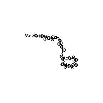 COc1ccc(C(C)(C)c2ccc(OC(=O)c3ccc(C(=O)Oc4ccc(Cc5ccc(OC(=O)c6ccc(C(=O)CCCCOc7ccc(Cc8ccccc8OC(=O)c8ccc(C(=O)Oc9ccccc9Cc9ccccc9OC(=O)c9ccc(C(C)=O)cc9)cc8)cc7)cc6)cc5)cc4)cc3)cc2)cc1